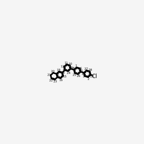 Clc1ccc(-c2ccc(-c3cccc(-c4ccc5c(c4)CCC=C5)c3)cc2)cc1